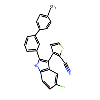 Cc1ccc(-c2cccc(-c3[nH]c4ccc(F)cc4c3-c3ccsc3C#N)c2)cc1